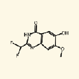 COc1cc2nc(C(F)F)[nH]c(=O)c2cc1O